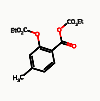 CCOC(=O)OC(=O)c1ccc(C)cc1OC(=O)OCC